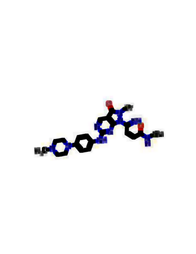 CC(C)n1c(=O)c2cnc(Nc3ccc(N4CCN(C)CC4)cc3)nc2n1C(=N)/C=C\C(=O)NC(C)(C)C